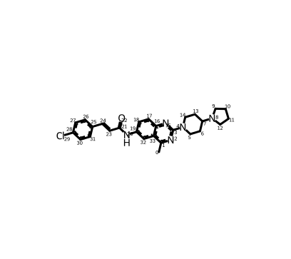 Cc1nc(N2CCC(N3CCCC3)CC2)nc2ccc(NC(=O)C=Cc3ccc(Cl)cc3)cc12